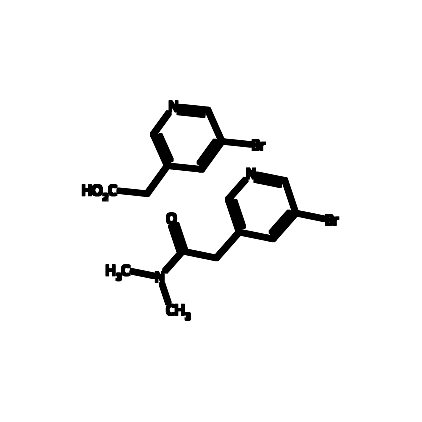 CN(C)C(=O)Cc1cncc(Br)c1.O=C(O)Cc1cncc(Br)c1